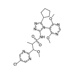 COc1ncnc(OC)c1-n1c(NS(=O)(=O)C(C)C(OC)c2ncc(Cl)cn2)nnc1C1CCCC1